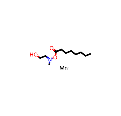 CCCCCCCC(=O)ON(C)CCO.[Mn]